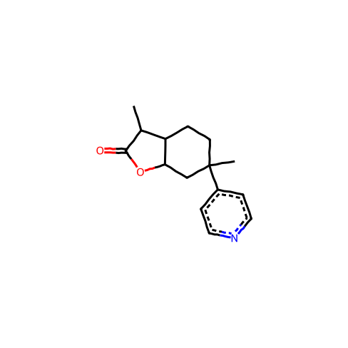 CC1C(=O)OC2CC(C)(c3ccncc3)CCC21